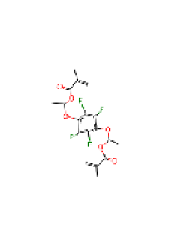 C=C(C)C(=O)OC(C)Oc1c(F)c(F)c(OC(C)OC(=O)C(=C)C)c(F)c1F